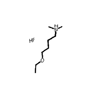 CCOCCCC[SiH](C)C.F